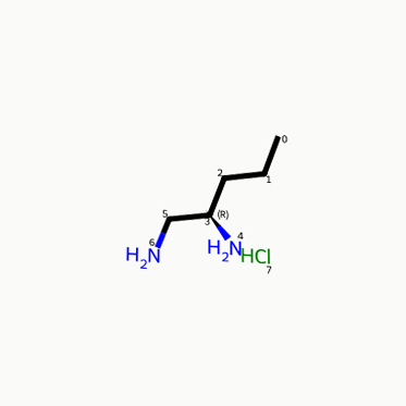 CCC[C@@H](N)CN.Cl